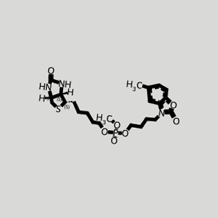 COP(=O)(OCCCCC[C@@H]1SC[C@@H]2NC(=O)N[C@@H]21)OCCCCn1c(=O)oc2ccc(C)cc21